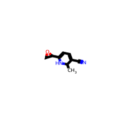 CC1NC(C2CO2)=CC=C1C#N